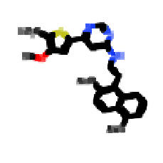 CCOc1cc(-c2cc(NCCc3c(OC)ccc4c(OC)cccc34)ncn2)sc1C(=O)O